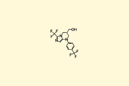 OCC1CN(c2ccc(C(F)(F)F)cc2)c2cnc(C(F)(F)F)n2C1